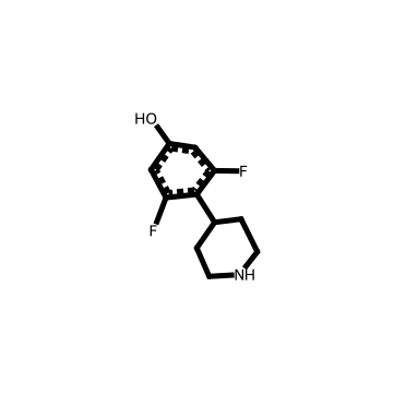 Oc1cc(F)c(C2CCNCC2)c(F)c1